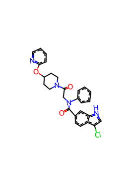 O=C(CN(C(=O)c1ccc2c(Cl)c[nH]c2c1)c1ccccc1)N1CCC(Oc2ccccn2)CC1